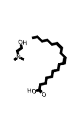 CCCCC/C=C\C/C=C\CCCCCCCC(=O)O.CN(C)CCO